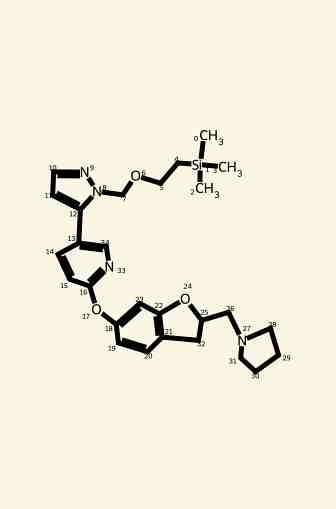 C[Si](C)(C)CCOCn1nccc1-c1ccc(Oc2ccc3c(c2)OC(CN2CCCC2)C3)nc1